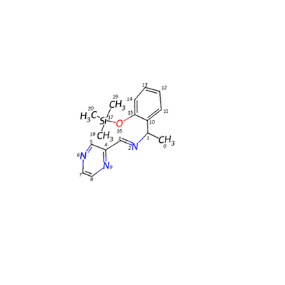 CC(/N=C/c1cnccn1)c1ccccc1O[Si](C)(C)C